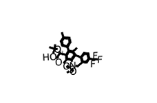 Cc1ccc(-c2c(C)c3c(c(C)c2[C@H](OC(C)(C)C)C(=O)O)N(S(C)(=O)=O)Cc2cc(C(F)(F)F)ccc2-3)cc1